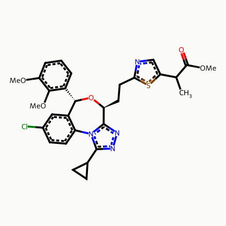 COC(=O)C(C)c1cnc(CC[C@@H]2O[C@@H](c3cccc(OC)c3OC)c3cc(Cl)ccc3-n3c(C4CC4)nnc32)s1